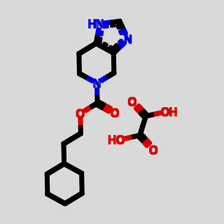 O=C(O)C(=O)O.O=C(OCCC1CCCCC1)N1CCc2[nH]cnc2C1